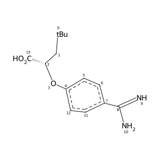 CC(C)(C)C[C@H](Oc1ccc(C(=N)N)cc1)C(=O)O